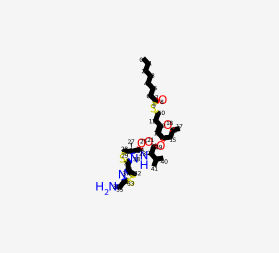 CCCCCCCC(=O)SCC/C=C/C(CC(C)=O)OC(=O)[C@@H](NC(=O)[C@]1(C)CSC(c2csc(CN)n2)=N1)C(C)C